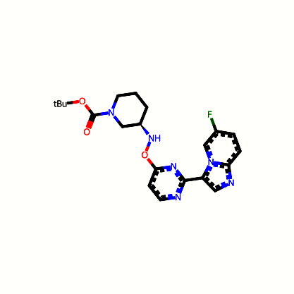 CC(C)(C)OC(=O)N1CCC[C@@H](NOc2ccnc(-c3cnc4ccc(F)cn34)n2)C1